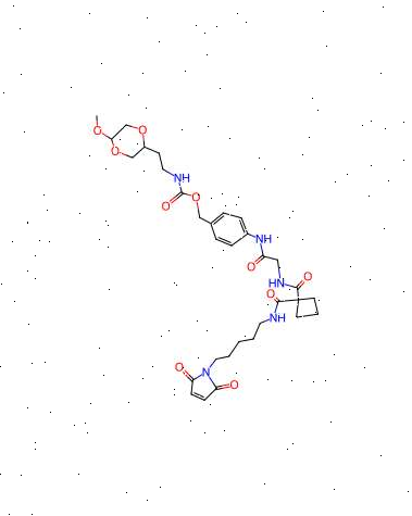 COC1COC(CCNC(=O)OCc2ccc(NC(=O)CNC(=O)C3(C(=O)NCCCCCN4C(=O)C=CC4=O)CCC3)cc2)CO1